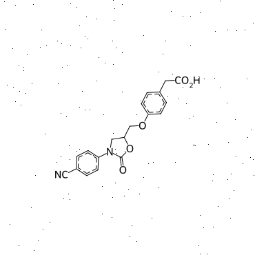 N#Cc1ccc(N2CC(COc3ccc(CC(=O)O)cc3)OC2=O)cc1